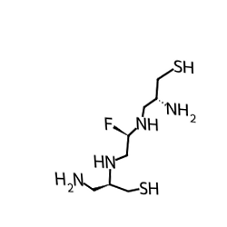 NC[C@H](CS)NC[C@@H](F)NC[C@@H](N)CS